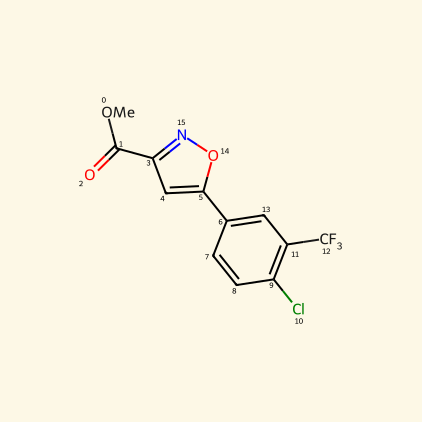 COC(=O)c1cc(-c2ccc(Cl)c(C(F)(F)F)c2)on1